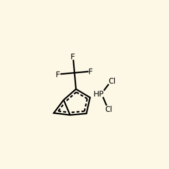 ClPCl.FC(F)(F)c1ccc2cc1-2